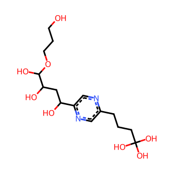 OCCCOC(O)C(O)CC(O)c1cnc(CCCC(O)(O)O)cn1